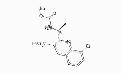 CCOC(=O)c1cc2cccc(Cl)c2nc1[C@H](C)NC(=O)OC(C)(C)C